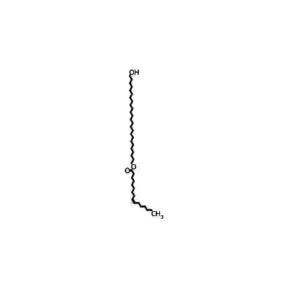 CCCCCC/C=C\CCCCCCCC(=O)OCCCCCCCCCCCCCCCCCCCCCCCCCO